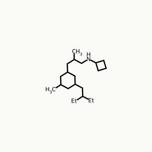 CCC(CC)CC1CC(C)CC(CC(C)CNC2CCC2)C1